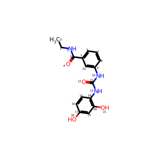 CCNC(=O)c1cccc(NC(=O)Nc2ccc(O)cc2O)c1